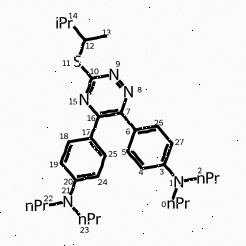 CCCN(CCC)c1ccc(-c2nnc(SC(C)C(C)C)nc2-c2ccc(N(CCC)CCC)cc2)cc1